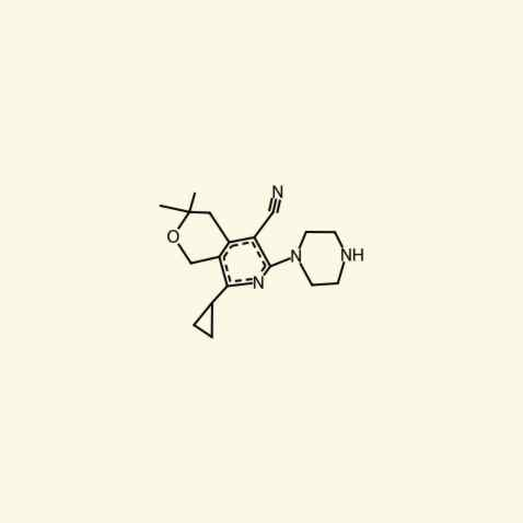 CC1(C)Cc2c(C#N)c(N3CCNCC3)nc(C3CC3)c2CO1